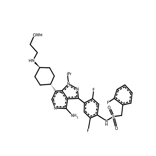 COCCN[C@H]1CC[C@H](c2cnc(N)c3c(-c4cc(F)c(NS(=O)(=O)Cc5ccccc5F)cc4F)nn(C(C)C)c32)CC1